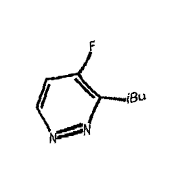 [CH2]CC(C)c1nnccc1F